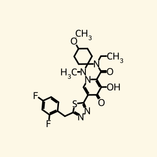 CCN1C(=O)c2c(O)c(=O)c(-c3nnc(Cc4ccc(F)cc4F)s3)cn2N(C)C12CCC(OC)CC2